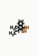 C=C/C=C(C=C)/C(S)=C(/S)c1ccccc1